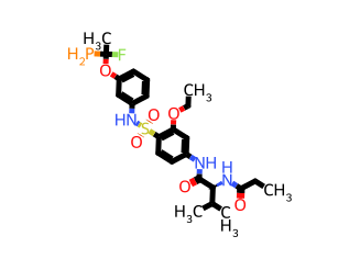 CCOc1cc(NC(=O)[C@@H](NC(=O)CC)C(C)C)ccc1S(=O)(=O)Nc1cccc(OC(C)(F)P)c1